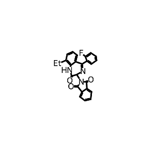 CCc1cccc2c1NC(=O)C(N1C(=O)c3ccccc3C1=O)N=C2c1ccccc1F